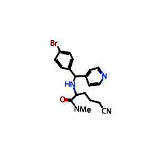 CNC(=O)C(CCCC#N)NC(c1ccncc1)c1ccc(Br)cc1